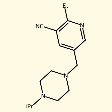 CCc1ncc(CN2CCN(C(C)C)CC2)cc1C#N